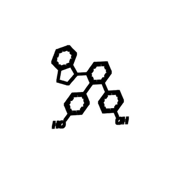 Oc1ccc(-c2cccc(C3CCc4ccccc43)c2-c2ccc(O)cc2)cc1